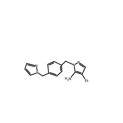 [CH2]Cc1cnn(Cc2ccc(Cn3cccn3)cc2)c1N